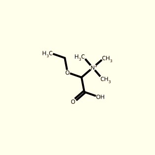 CCOC(C(=O)O)[N+](C)(C)C